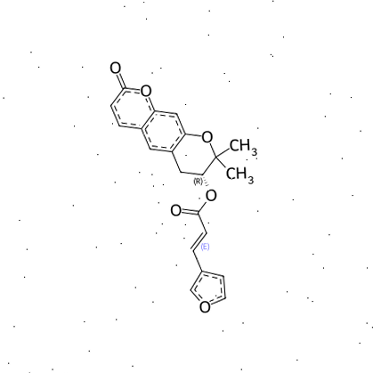 CC1(C)Oc2cc3oc(=O)ccc3cc2C[C@H]1OC(=O)/C=C/c1ccoc1